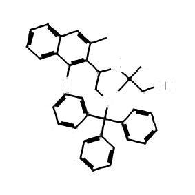 Cc1cc2ccccc2c(Cl)c1C(COC(c1ccccc1)(c1ccccc1)c1ccccc1)OC(C)(C)CO